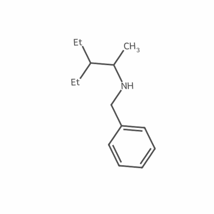 CCC(CC)C(C)NCc1ccccc1